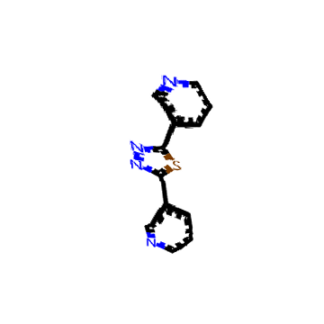 c1cncc(-c2nnc(-c3cccnc3)s2)c1